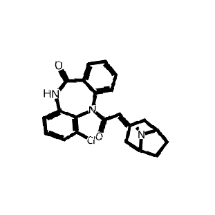 CN1C2CCC1CC(=CC(=O)N1c3ccccc3C(=O)Nc3cccc(Cl)c31)C2